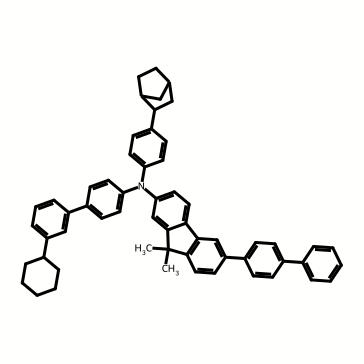 CC1(C)c2ccc(-c3ccc(-c4ccccc4)cc3)cc2-c2ccc(N(c3ccc(-c4cccc(C5CCCCC5)c4)cc3)c3ccc(C4CC5CCC4C5)cc3)cc21